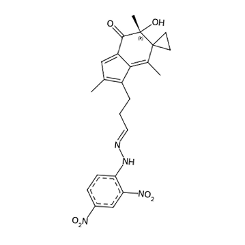 CC1=C(CCC=NNc2ccc([N+](=O)[O-])cc2[N+](=O)[O-])C2=C(C)C3(CC3)[C@@](C)(O)C(=O)C2=C1